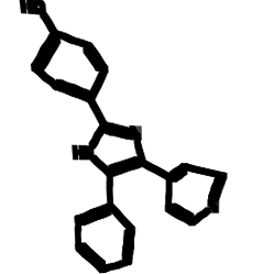 Oc1ccc(-c2nc(-c3ccncc3)c(-c3ccccc3)[nH]2)cc1